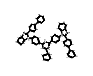 c1ccc(-c2ccc(-c3nc4ccccc4n3-c3ccc(-c4nc(-c5ccccc5)nc(-c5ccc(-n6c(-c7ccc(-c8ccccc8)cc7)nc7ccccc76)cc5)n4)cc3)cc2)cc1